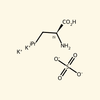 CC(C)C[C@H](N)C(=O)O.O=S(=O)([O-])[O-].[K+].[K+]